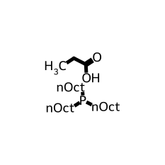 CCC(=O)O.CCCCCCCCP(CCCCCCCC)CCCCCCCC